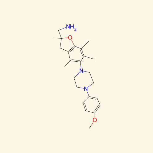 COc1ccc(N2CCN(c3c(C)c(C)c4c(c3C)CC(C)(CN)O4)CC2)cc1